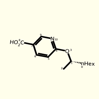 CCCCCC[C@H](C)Oc1ccc(C(=O)O)cn1